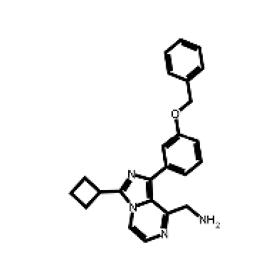 NCc1nccn2c(C3CCC3)nc(-c3cccc(OCc4ccccc4)c3)c12